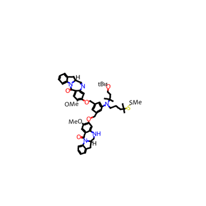 COc1cc2c(cc1OCc1cc(COc3cc4c(cc3OC)C(=O)N3c5ccccc5C[C@H]3CN4)cc(N(CCCC(C)(C)SSC)C(C)(C)CCOC(C)(C)C)c1)N=C[C@@H]1Cc3ccccc3N1C2=O